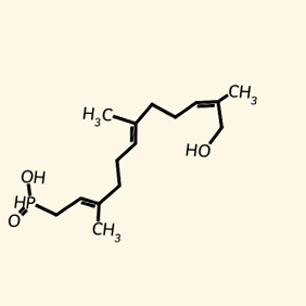 CC(=CCCC(C)=CCCC(C)=CC[PH](=O)O)CO